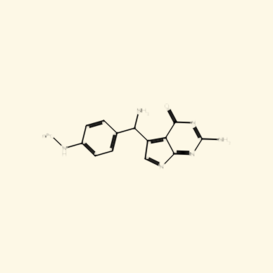 CCCNc1ccc(C(N)C2=C3C(=O)N=C(N)N=C3N=C2)cc1